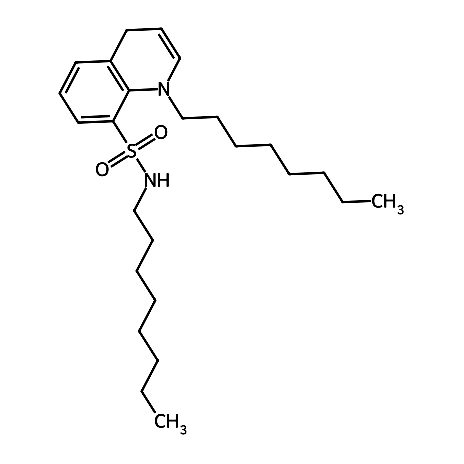 CCCCCCCCNS(=O)(=O)c1cccc2c1N(CCCCCCCC)C=CC2